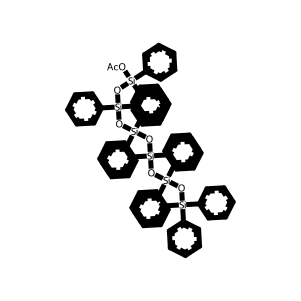 CC(=O)O[Si](O[Si](O[Si](O[Si](O[Si](O[Si](c1ccccc1)(c1ccccc1)c1ccccc1)(c1ccccc1)c1ccccc1)(c1ccccc1)c1ccccc1)(c1ccccc1)c1ccccc1)(c1ccccc1)c1ccccc1)(c1ccccc1)c1ccccc1